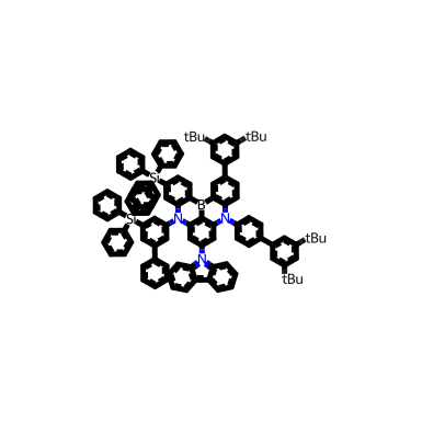 CC(C)(C)c1cc(-c2ccc(N3c4ccc(-c5cc(C(C)(C)C)cc(C(C)(C)C)c5)cc4B4c5ccc([Si](c6ccccc6)(c6ccccc6)c6ccccc6)cc5N(c5cc(-c6ccccc6)cc([Si](c6ccccc6)(c6ccccc6)c6ccccc6)c5)c5cc(-n6c7ccccc7c7ccccc76)cc3c54)cc2)cc(C(C)(C)C)c1